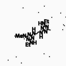 CCNc1nc(C)nc(NCCNc2nc(NC)nc(NCC)n2)n1